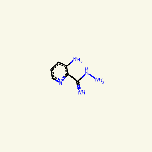 N=C(NN)c1ncccc1N